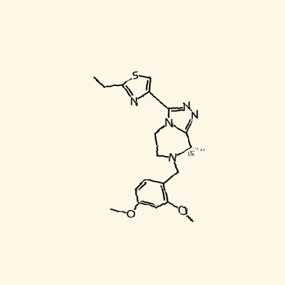 CCc1nc(-c2nnc3n2CCN(Cc2ccc(OC)cc2OC)[C@H]3C)cs1